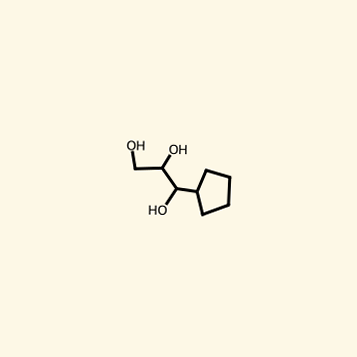 OCC(O)C(O)C1CCCC1